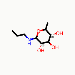 CCCNC1OC(C)[C@H](O)C(O)[C@@H]1O